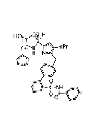 CCCc1cc(C(=O)N[C@H](Cc2ccccc2)[C@@H](O)C(=O)O)nn1Cc1ccc(-c2ccccc2S(=O)(=O)NC(=O)c2ccncc2)cc1